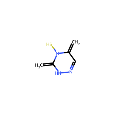 C=C1C=NNC(=C)N1S